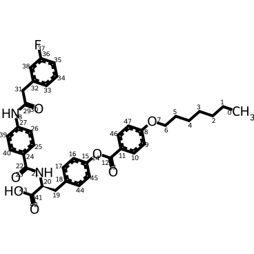 CCCCCCCOc1ccc(C(=O)Oc2ccc(C[C@H](NC(=O)c3ccc(NC(=O)Cc4cccc(F)c4)cc3)C(=O)O)cc2)cc1